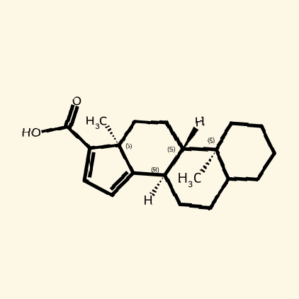 C[C@]12CC[C@H]3[C@@H](CCC4CCCC[C@@]43C)C1=CC=C2C(=O)O